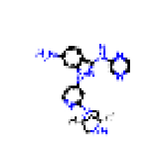 Nc1ccc2c(Nc3cnccn3)nn(-c3ccnc(N4C[C@@H]5C[C@H]4CN5)c3)c2c1